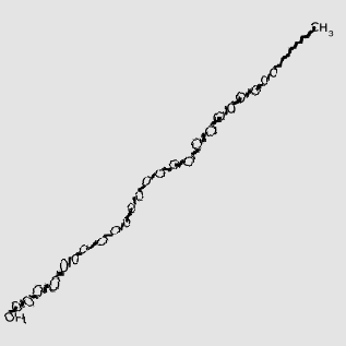 CCCCCCCCCCCCCOCCOCCOCCOCCOCCOCCOCCOCCOCCOCCOCCOCCOCCOCCOCCOCCOCCOCCOCCOCCOCCOCCOCCOCCO